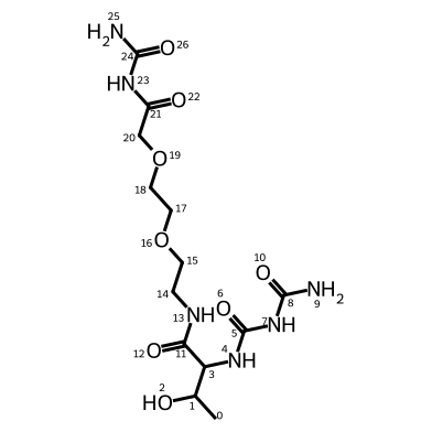 CC(O)C(NC(=O)NC(N)=O)C(=O)NCCOCCOCC(=O)NC(N)=O